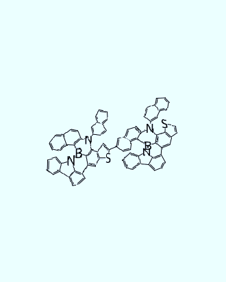 c1ccc2cc(N3c4ccc5ccccc5c4B4c5c(cc6sc(-c7ccc8c9c(ccc8c7)N(c7ccc8ccccc8c7)c7c8c(cc%10ccsc7%10)-c7cccc%10c%11ccccc%11n(c7%10)B89)cc6c53)-c3cccc5c6ccccc6n4c35)ccc2c1